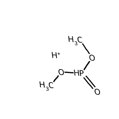 CO[PH](=O)OC.[H+]